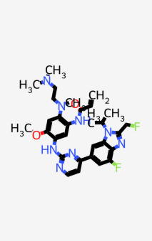 C=CC(=O)Nc1cc(Nc2nccc(-c3cc(F)c4nc(CF)n(C(C)C)c4c3)n2)c(OC)cc1N(C)CCN(C)C